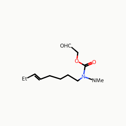 CCC=CCCCCN(NC)C(=O)OCC=O